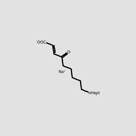 CCCCCCCCCCCCC(=O)/C=C/C(=O)[O-].[Na+]